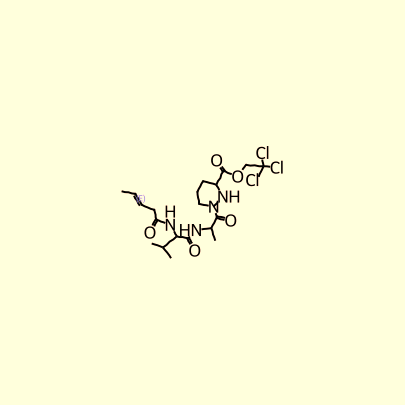 C/C=C/CC(=O)NC(C(=O)NC(C)C(=O)N1CCCC(C(=O)OCC(Cl)(Cl)Cl)N1)C(C)C